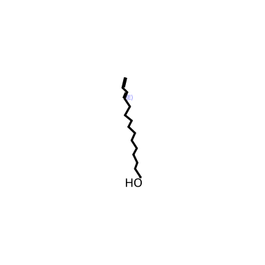 C=C/C=C/CCCCCCCCCCCO